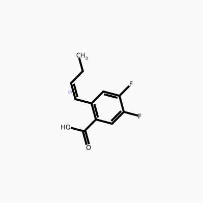 CC/C=C\c1cc(F)c(F)cc1C(=O)O